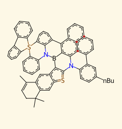 CCCCc1ccc(N2c3cc4ccccc4c4c3B(c3c2sc2cc5c(cc32)C(C)=CCC5(C)C)N2c3ccccc3S3(c5ccccc5-c5ccccc53)c3cccc-4c32)c(-c2ccccc2)c1